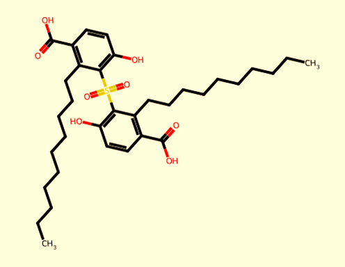 CCCCCCCCCCc1c(C(=O)O)ccc(O)c1S(=O)(=O)c1c(O)ccc(C(=O)O)c1CCCCCCCCCC